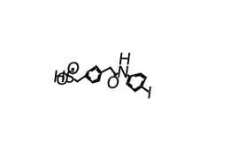 O=C(Cc1ccc(C[SH](=O)=O)cc1)Nc1ccc(I)cc1